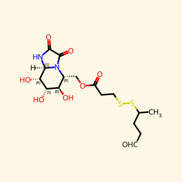 CC(CCC=O)SSCCC(=O)OC[C@@H]1[C@@H](O)[C@H](O)[C@H](O)[C@H]2NC(=O)C(=O)N12